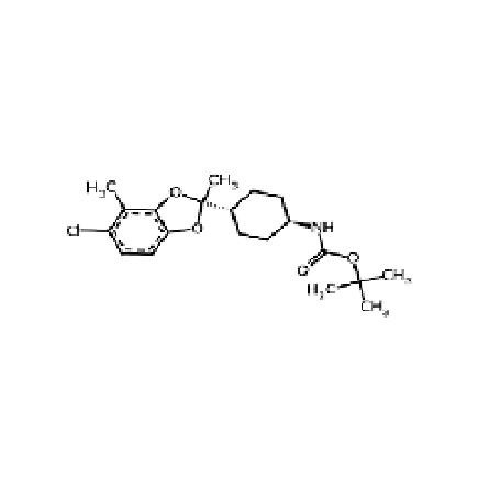 Cc1c(Cl)ccc2c1OC(C)([C@H]1CC[C@H](NC(=O)OC(C)(C)C)CC1)O2